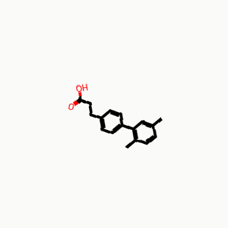 Cc1ccc(C)c(-c2ccc(CCC(=O)O)cc2)c1